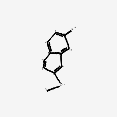 COc1[c]cc2ccc(F)cc2c1